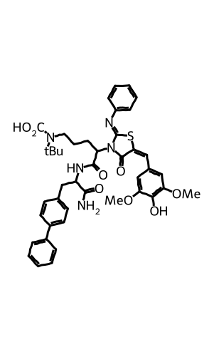 COc1cc(C=C2SC(=Nc3ccccc3)N(C(CCCN(C(=O)O)C(C)(C)C)C(=O)NC(Cc3ccc(-c4ccccc4)cc3)C(N)=O)C2=O)cc(OC)c1O